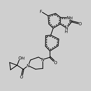 O=C(c1ccc(-c2cc(F)cc3[nH]c(=O)[nH]c23)cc1)N1CCN(C(=O)C2(O)CC2)CC1